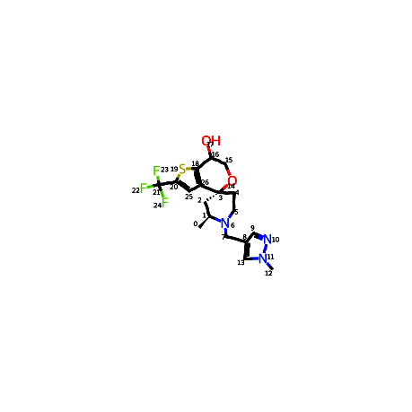 C[C@H]1C[C@@]2(CCN1Cc1cnn(C)c1)OCC(O)c1sc(C(F)(F)F)cc12